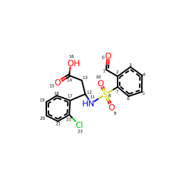 O=Cc1ccccc1S(=O)(=O)NC(CC(=O)O)c1ccccc1Cl